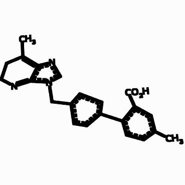 CC1=c2ncn(Cc3ccc(-c4ccc(C)cc4C(=O)O)cc3)c2=NCC1